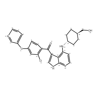 O=C(c1ccc(Oc2cccnc2)cc1Cl)c1c[nH]c2nccc(N[C@H]3CC[C@H](CO)CC3)c12